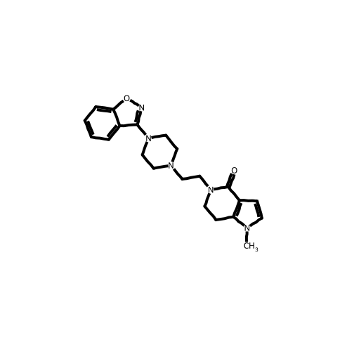 Cn1ccc2c1CCN(CCN1CCN(c3noc4ccccc34)CC1)C2=O